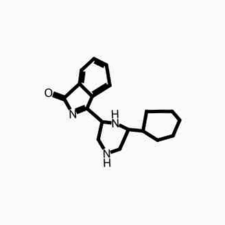 O=C1N=C(C2CNCC(C3CCCCC3)N2)c2ccccc21